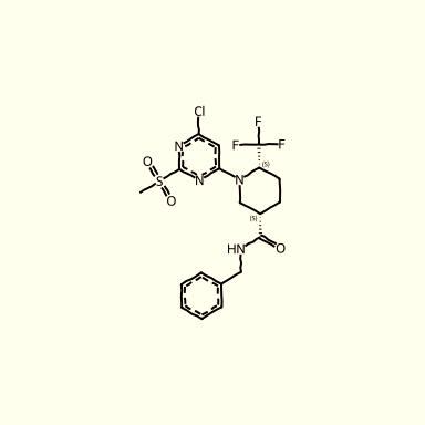 CS(=O)(=O)c1nc(Cl)cc(N2C[C@@H](C(=O)NCc3ccccc3)CC[C@H]2C(F)(F)F)n1